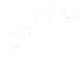 O=C(O)Cc1ccc(CN2CCN(c3nc4ccc(Cl)cc4s3)CC2)s1